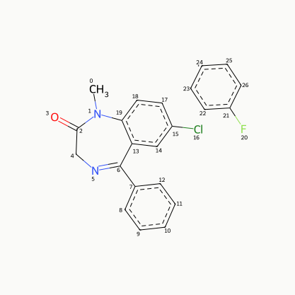 CN1C(=O)CN=C(c2ccccc2)c2cc(Cl)ccc21.Fc1cc[c]cc1